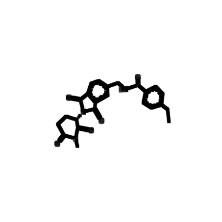 CCc1ccc(C(=O)NCc2ccc3c(c2)C(=O)N([C@H]2CCC(=O)N(C)C2=O)C3=O)cc1